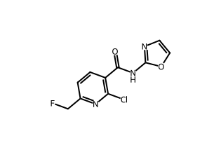 O=C(Nc1ncco1)c1ccc(CF)nc1Cl